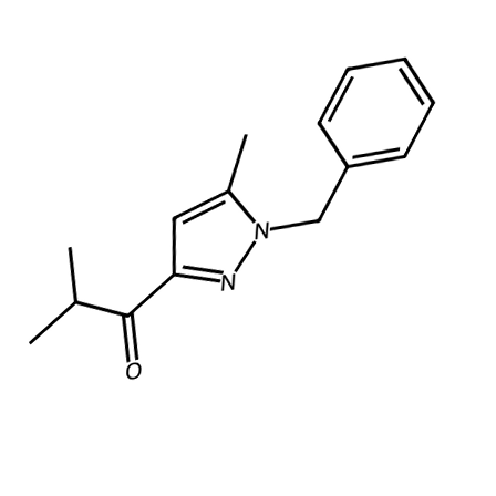 Cc1cc(C(=O)C(C)C)nn1Cc1ccccc1